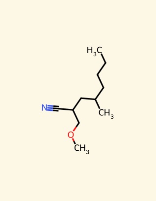 CCCCC(C)CC(C#N)COC